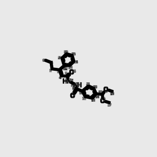 CCCC(=CC(=O)NNC(=O)c1ccc(C(OC)OC)cc1)c1ccccc1